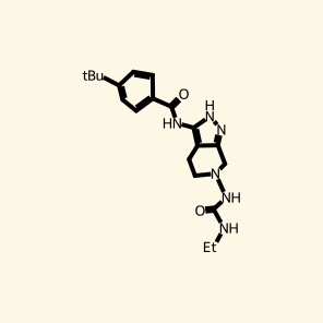 CCNC(=O)NN1CCc2c(n[nH]c2NC(=O)c2ccc(C(C)(C)C)cc2)C1